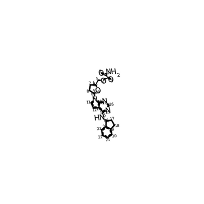 NS(=O)(=O)OC[C@@H]1CC[C@H](n2ccc3c(N[C@H]4CCc5ccccc54)ncnc32)O1